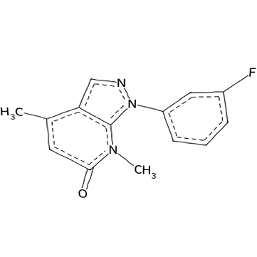 Cc1cc(=O)n(C)c2c1cnn2-c1cccc(F)c1